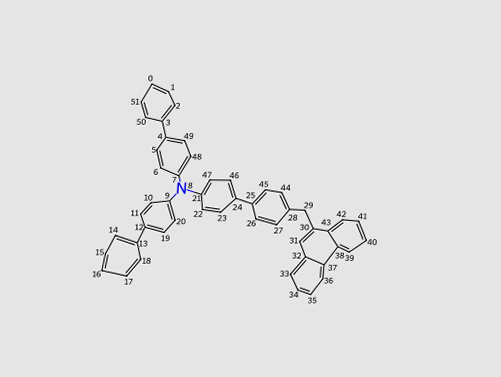 c1ccc(-c2ccc(N(c3ccc(-c4ccccc4)cc3)c3ccc(-c4ccc(Cc5cc6ccccc6c6ccccc56)cc4)cc3)cc2)cc1